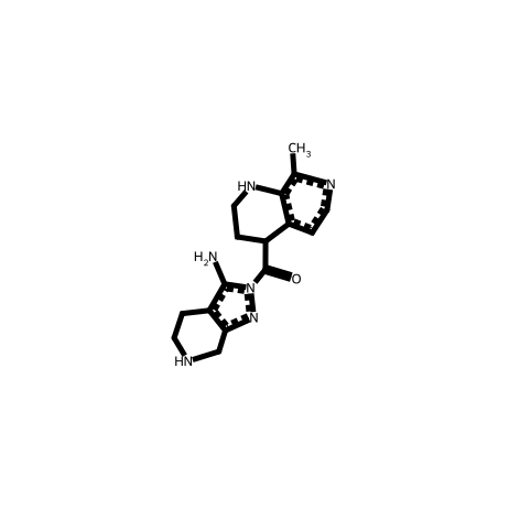 Cc1nccc2c1NCCC2C(=O)n1nc2c(c1N)CCNC2